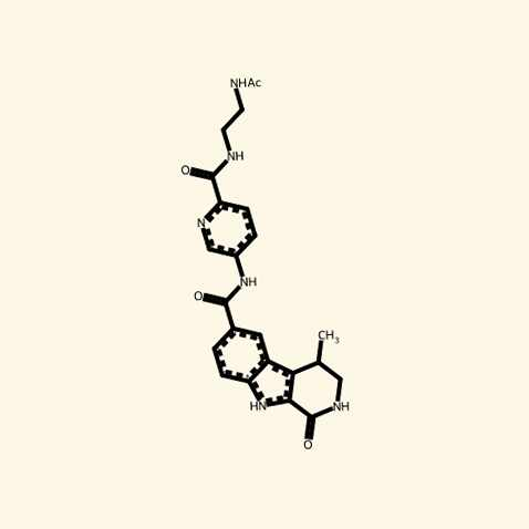 CC(=O)NCCNC(=O)c1ccc(NC(=O)c2ccc3[nH]c4c(c3c2)C(C)CNC4=O)cn1